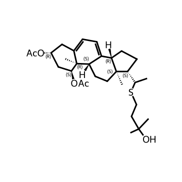 CC(=O)O[C@@H]1CC2=CC=C3[C@@H]4CC[C@H](C(C)SCCC(C)(C)O)[C@@]4(C)CC[C@@H]3[C@@]2(C)[C@@H](OC(C)=O)C1